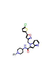 CC(C)N1CCC(NC(=O)c2cc3ncccc3n2Cc2cc(-c3ccc(Cl)s3)on2)CC1